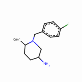 NC1CCC(C=O)N(Cc2ccc(F)cc2)C1